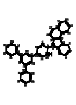 C1=NC(n2c3ccccc3c3c4ccccc4ccc32)NC=C1c1cc(-c2ccccc2)cc(-c2ccccc2)c1